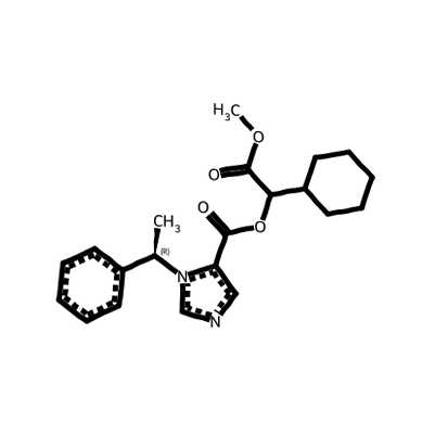 COC(=O)C(OC(=O)c1cncn1[C@H](C)c1ccccc1)C1CCCCC1